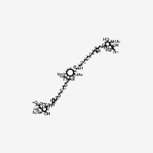 CSc1ccccc(SC(=O)NCCOCCOCCOCCn2cc(CCO[C@]3(C(=O)O)C[C@H](O)[C@@H](NC(C)=O)[C@H]([C@H](O)[C@H](O)CO)O3)nn2)c(SC)c(SO)c(SNCCOCCOCCOCCn2cc(CCO[C@]3(C(=O)O)C[C@H](O)[C@@H](NC(C)=O)[C@H]([C@H](O)[C@H](O)CO)O3)nn2)c1SO